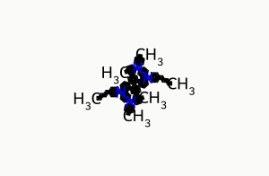 CCCCCc1ccc(-n2c3ccc(N(c4ccc(C)cc4)c4ccc(C)cc4)cc3c3c(-c4ccccc4-c4ccccc4-c4cccc5c4c4cc(N(c6ccc(C)cc6)c6ccc(C)cc6)ccc4n5-c4ccc(CCCCC)cc4)cccc32)cc1